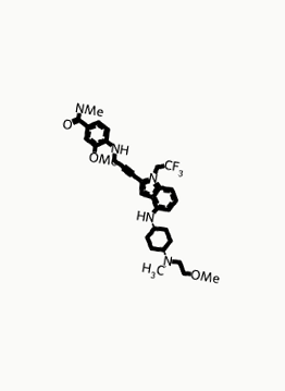 CNC(=O)c1ccc(NCC#Cc2cc3c(N[C@H]4CC[C@@H](N(C)CCOC)CC4)cccc3n2CC(F)(F)F)c(OC)c1